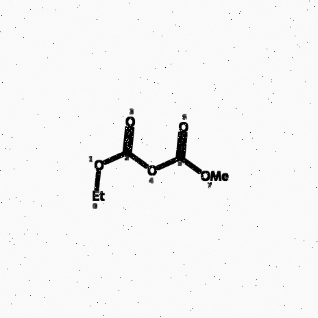 CCOC(=O)OC(=O)OC